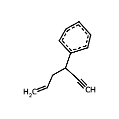 C#CC(CC=C)c1ccccc1